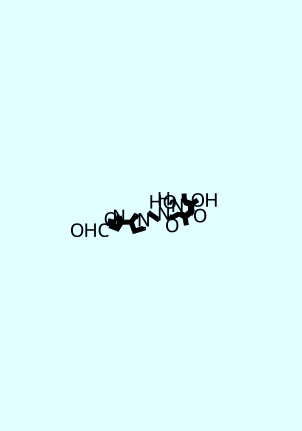 Cc1c(C(=O)NCCN2CCC(c3cc(C=O)on3)C2)n(O)c(C)c(O)c1=O